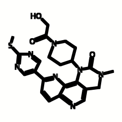 CSc1ncc(-c2ccc3ncc4c(c3n2)N(C2CCN(C(=O)CO)CC2)C(=O)N(C)C4)cn1